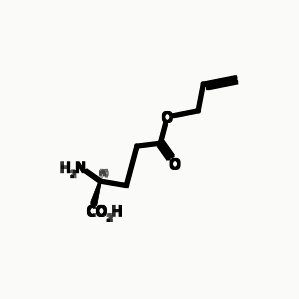 C=CCOC(=O)CC[C@H](N)C(=O)O